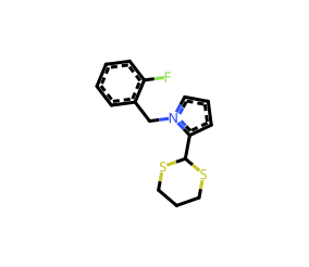 Fc1ccccc1Cn1cccc1C1SCCCS1